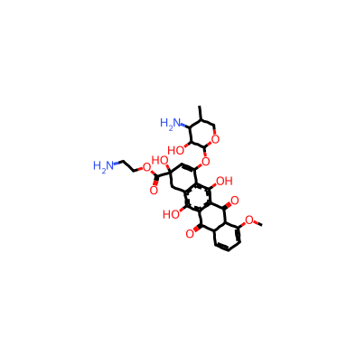 COC1=CC=CC2C(=O)c3c(O)c4c(c(O)c3C(=O)C12)C(OC1OCC(C)C(N)C1O)=CC(O)(C(=O)OCCN)C4